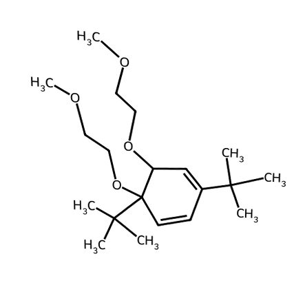 COCCOC1C=C(C(C)(C)C)C=CC1(OCCOC)C(C)(C)C